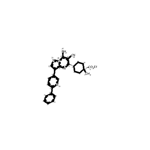 CCOC(=O)[C@]1(C)CC[C@H](c2nc3c(-c4ccc(-c5ccccc5)nc4)cnn3c(N)c2C#N)CC1